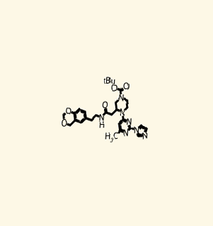 Cc1cc(N2CCN(C(=O)OC(C)(C)C)CC2CC(=O)NCCc2ccc3c(c2)COCO3)nc(-n2ccnc2)n1